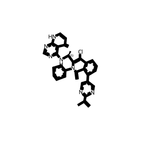 C=C(C)c1ncc(-c2cccc3c2C(=C)N(c2ccccc2)C([C@H](C)Nc2ncnc4c2C(=C)C=CN4)=C3Cl)cn1